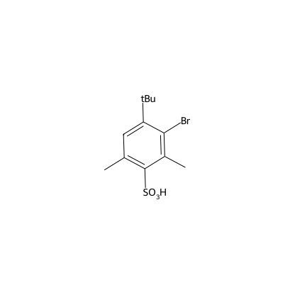 Cc1cc(C(C)(C)C)c(Br)c(C)c1S(=O)(=O)O